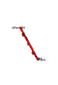 CCCCCC(O)CCCCCCCCC(=O)CC(=O)CCCCCCCCCCCCCC(=O)CCCCCCCCCCCCCC(=O)CC(=O)CCCCCCCCC(O)CCCCC